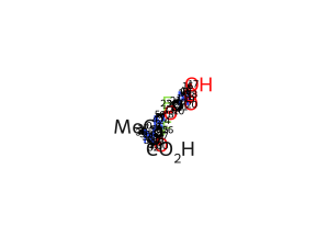 COc1c(N2CCC(COc3ccc(N4C[C@H](CO)OC4=O)cc3F)C2)c(F)cc2c(=O)c(C(=O)O)cn(C3CC3)c12